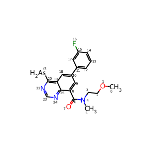 COCCN(C)C(=O)c1cc(-c2cccc(F)c2)cc2c([AsH2])ncnc12